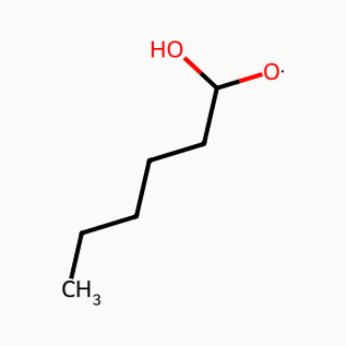 CCCCCC([O])O